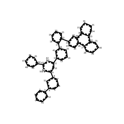 c1ccc(-c2cccc(-c3cc(-c4cccc(-c5ccccc5-c5ccc6c7ccccc7c7ccccc7c6c5)c4)nc(-c4ccccc4)n3)c2)cc1